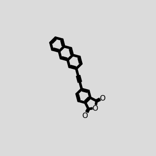 O=C1OC(=O)c2cc(C#Cc3ccc4cc5ccccc5cc4c3)ccc21